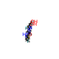 C[C@@H]1CN(c2ncc(C[C@@H](O)CO)cc2F)CCN1C(=O)Nc1nc2ccc(F)cc2s1